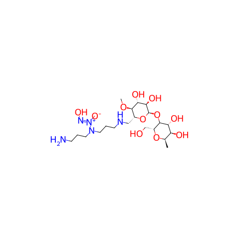 CO[C@H]1[C@H](O)[C@@H](O)[C@@H](OC2[C@@H](CO)O[C@H](C)[C@H](O)[C@H]2O)O[C@@H]1CNCCCN(CCCN)/[N+]([O-])=N/O